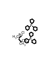 CC(C)=CC(C)=[CH][Ru][Cl].c1ccc(P(c2ccccc2)c2ccccc2)cc1.c1ccc(P(c2ccccc2)c2ccccc2)cc1